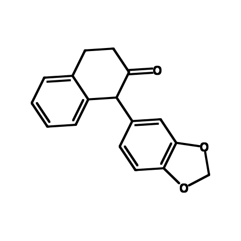 O=C1CCc2ccccc2C1c1ccc2c(c1)OCO2